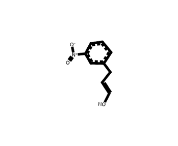 O=[N+]([O-])c1cccc(C/C=C/O)c1